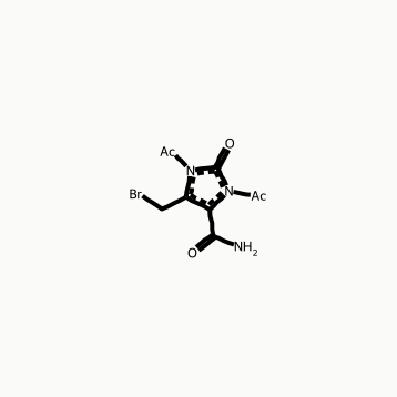 CC(=O)n1c(CBr)c(C(N)=O)n(C(C)=O)c1=O